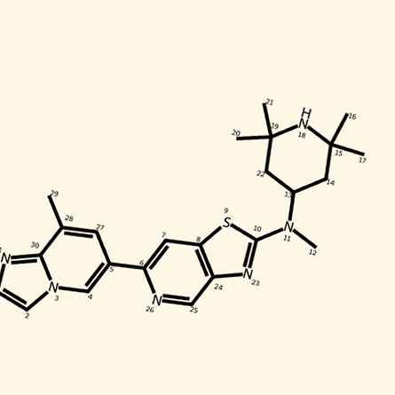 Cc1cn2cc(-c3cc4sc(N(C)C5CC(C)(C)NC(C)(C)C5)nc4cn3)cc(C)c2n1